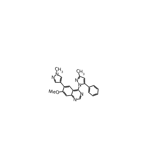 COc1cc2ncnc(-n3nc(C)cc3-c3ccccc3)c2cc1-c1cnn(C)c1